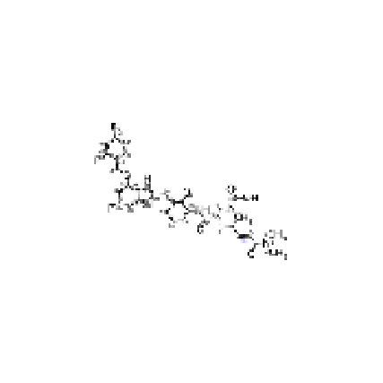 CN(C)C(=O)/C=C/CC[C@@H](CN(C)C(=O)O)C(=O)Nc1cccn(Cc2nc3cc(F)cc(OCc4ccc(F)cc4F)c3[nH]2)c1=O